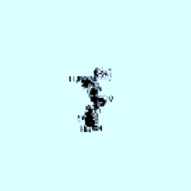 CCn1cc(C(=O)NCC[N+]2(CC3=C(C(=O)[O-])N4C(=O)[C@@H](NC(=O)/C(=N\O[C@@H](CC(=O)O)C(=O)O)c5csc(N)n5)[C@H]4SC3)CCCC2)c(=O)c2c(F)c(O)c(O)cc21